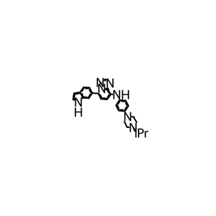 CC(C)N1CCN(c2ccc(Nc3ccc(-c4ccc5cc[nH]c5c4)n4ncnc34)cc2)CC1